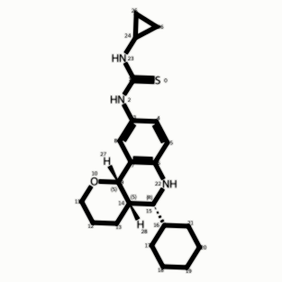 S=C(Nc1ccc2c(c1)[C@H]1OCCC[C@H]1[C@@H](C1CCCCC1)N2)NC1CC1